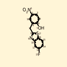 O=[N+]([O-])c1ccc(O)c(Cc2nc3cc(F)ccc3s2)c1